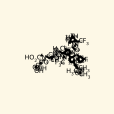 CC(C)(CCN(CC(=O)O)C(=O)OCOP(=O)(O)O)C(=O)NS(=O)(=O)Cc1nn(CC(F)(F)F)c2c(-c3ccc(C#CC(C)(C)S(C)(=O)=O)nc3[C@H](Cc3cc(F)cc(F)c3)NC(=O)Cn3nc(C(F)(F)F)c4c3C(F)(F)[C@@H]3C[C@H]43)ccc(Cl)c12